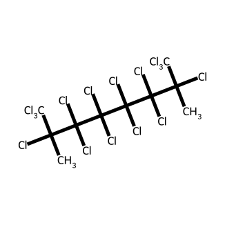 CC(Cl)(C(Cl)(Cl)Cl)C(Cl)(Cl)C(Cl)(Cl)C(Cl)(Cl)C(Cl)(Cl)C(C)(Cl)C(Cl)(Cl)Cl